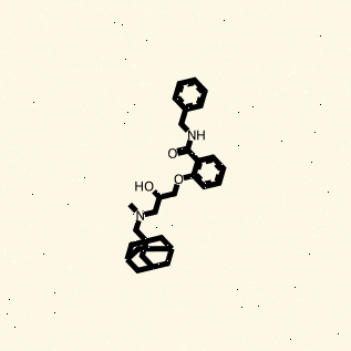 CN(CC(O)COc1ccccc1C(=O)NCc1ccccc1)CC12CC3CC(CC(C3)C1)C2